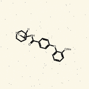 COc1ccccc1Oc1ccc(C(=O)N[C@H]2CN3CCC2CC3)cc1